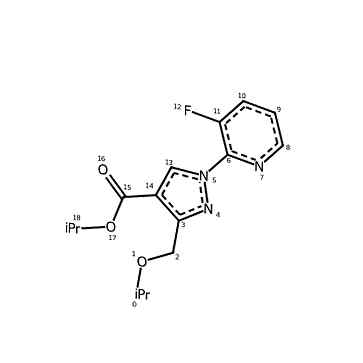 CC(C)OCc1nn(-c2ncccc2F)cc1C(=O)OC(C)C